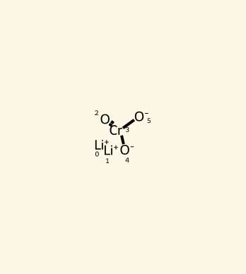 [Li+].[Li+].[O]=[Cr]([O-])[O-]